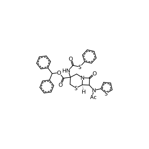 CC(=O)N(c1cccs1)C1C(=O)N2CC(NC(=O)Sc3ccccc3)(C(=O)OC(c3ccccc3)c3ccccc3)CS[C@H]12